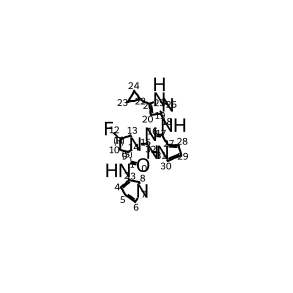 O=C(Nc1cccnc1)[C@@H]1C[C@@H](F)CN1c1nc(Nc2cc(C3CC3)[nH]n2)c2cccn2n1